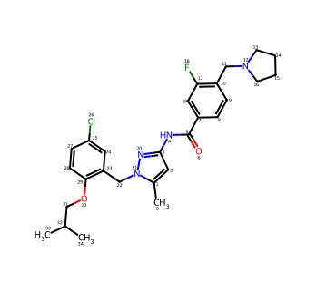 Cc1cc(NC(=O)c2ccc(CN3CCCC3)c(F)c2)nn1Cc1cc(Cl)ccc1OCC(C)C